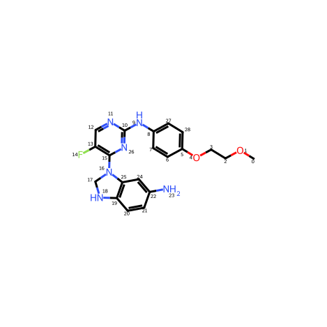 COCCOc1ccc(Nc2ncc(F)c(N3CNc4ccc(N)cc43)n2)cc1